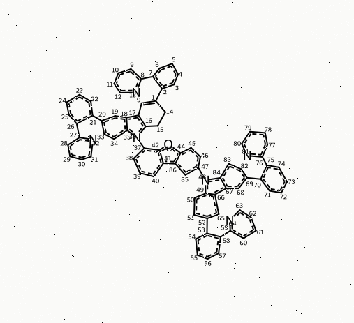 C1=C(c2ccccc2-c2ccccn2)CCc2c1c1cc(-c3ccccc3-c3ccccn3)ccc1n2-c1cccc2c1oc1ccc(-n3c4ccc(-c5ccccc5-c5ccccn5)cc4c4cc(-c5ccccc5-c5ccccn5)ccc43)cc12